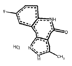 Cc1[nH]nc2c1c(=O)[nH]c1ccc(F)cc12.Cl